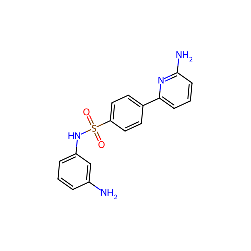 Nc1cccc(NS(=O)(=O)c2ccc(-c3cccc(N)n3)cc2)c1